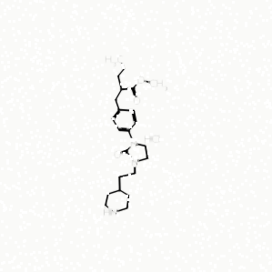 CCCC(Cc1ccc(N2CCN(CCC3CCNCC3)C2=O)cc1)C(=O)OC.Cl